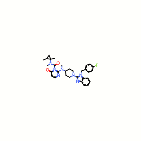 CC1CC1(C)N(C)C(=O)n1c(N(C)C2CCN(c3nc4ccccc4n3Cc3ccc(F)cc3)CC2)nccc1=O